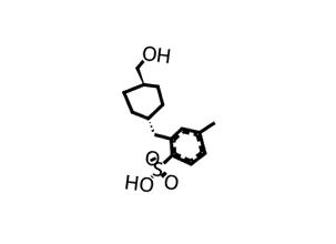 Cc1ccc(S(=O)(=O)O)c(C[C@H]2CC[C@H](CO)CC2)c1